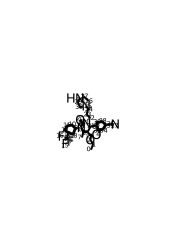 CCOC(=O)C1=C(C)N(c2cccc(C(F)(F)F)c2)C(=O)N(CCCN2CCNCC2)C1c1ccc(C#N)cc1